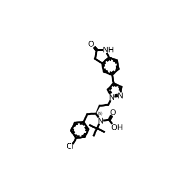 CC(C)(C)N(C(=O)O)[C@H](CCn1cc(-c2ccc3c(c2)CC(=O)N3)cn1)Cc1ccc(Cl)cc1